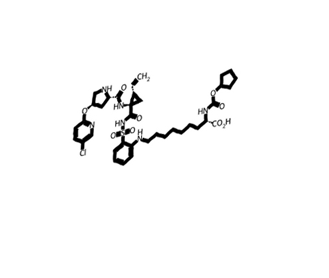 C=C[C@@H]1C[C@]1(NC(=O)[C@@H]1C[C@@H](Oc2ccc(Cl)cn2)CN1)C(=O)NS(=O)(=O)c1ccccc1NCCCCCCC[C@H](NC(=O)OC1CCCC1)C(=O)O